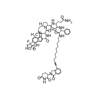 CN1CC[C@H]2CC[C@@H](C(=O)NC(CCC(N)=O)C(=O)NC(C(=O)NCCCCCCCCCC#Cc3cccc4c3CN(C3CCC(=O)NC3=O)C4=O)c3ccccc3)N2C(=O)[C@@H](NC(=O)c2cc3cc(C(F)(F)P(=O)(O)O)ccc3[nH]2)C1